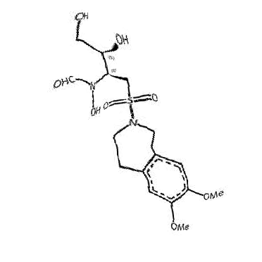 COc1cc2c(cc1OC)CN(S(=O)(=O)C[C@H]([C@H](O)CO)N(O)C=O)CC2